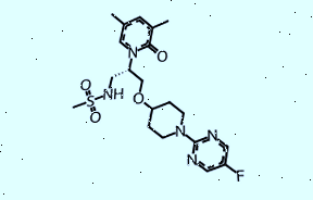 Cc1cc(C)c(=O)n([C@@H](CNS(C)(=O)=O)COC2CCN(c3ncc(F)cn3)CC2)c1